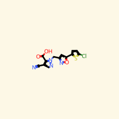 N#Cc1cnn(Cc2cc(-c3ccc(Cl)s3)on2)c1C(=O)O